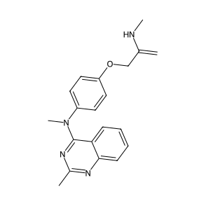 C=C(COc1ccc(N(C)c2nc(C)nc3ccccc23)cc1)NC